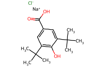 CC(C)(C)c1cc(C(=O)O)cc(C(C)(C)C)c1O.[Cl-].[Na+]